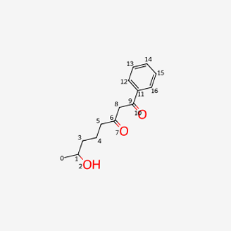 CC(O)CCCC(=O)CC(=O)c1ccccc1